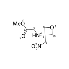 COC(=O)CNC1(C[N+](=O)[O-])COC1